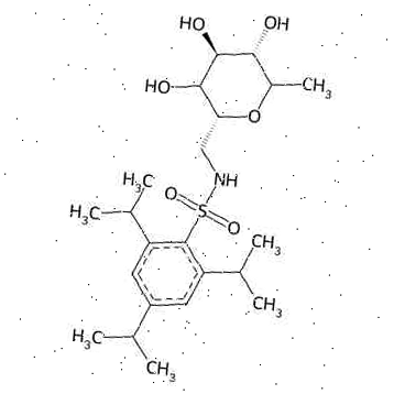 CC(C)c1cc(C(C)C)c(S(=O)(=O)NC[C@H]2OC(C)[C@@H](O)[C@H](O)C2O)c(C(C)C)c1